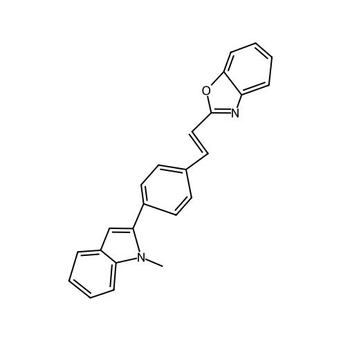 Cn1c(-c2ccc(/C=C/c3nc4ccccc4o3)cc2)cc2ccccc21